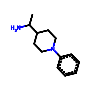 CC(N)C1CCN(c2ccccc2)CC1